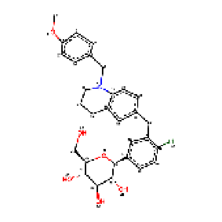 COc1ccc(CN2CCCc3cc(Cc4cc([C@@H]5O[C@H](CO)[C@@H](O)[C@H](O)[C@H]5O)ccc4Cl)ccc32)cc1